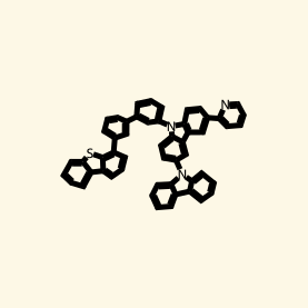 c1ccc(-c2ccc3c(c2)c2cc(-n4c5ccccc5c5ccccc54)ccc2n3-c2cccc(-c3cccc(-c4cccc5c4sc4ccccc45)c3)c2)nc1